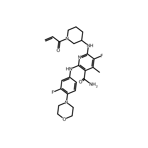 C=CC(=O)N1CCCC(Nc2nc(Nc3ccc(N4CCOCC4)c(F)c3)c(C(N)=O)c(C)c2F)C1